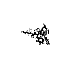 CCCCNC(=O)C(=O)C(Cc1ccccc1)NC(=O)[C@H](CC(C)C)NC(=O)OCCOC